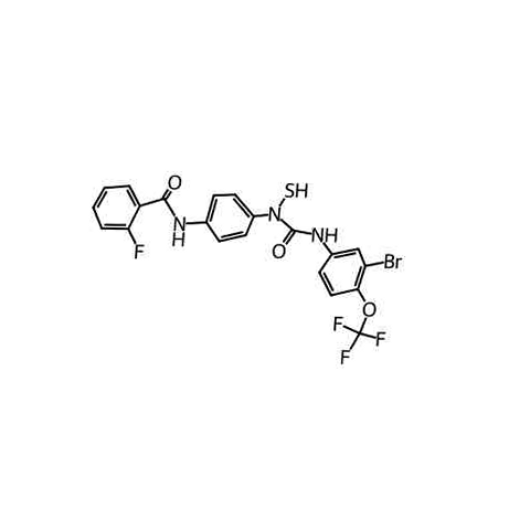 O=C(Nc1ccc(N(S)C(=O)Nc2ccc(OC(F)(F)F)c(Br)c2)cc1)c1ccccc1F